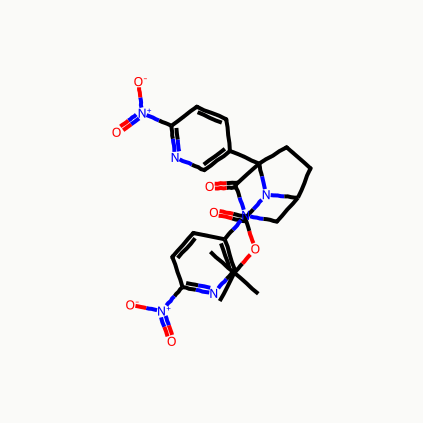 CC(C)(C)OC(=O)N1C2CCC1(c1ccc([N+](=O)[O-])nc1)C(=O)N(c1ccc([N+](=O)[O-])nc1)C2